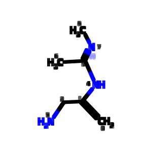 C=C(CN)N/C(C)=N/C